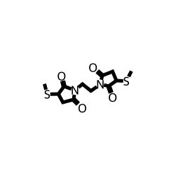 CSC1CC(=O)N(CCN2C(=O)CC(SC)C2=O)C1=O